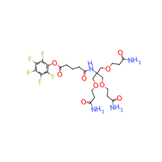 NC(=O)CCOCC(COCCC(N)=O)(COCCC(N)=O)NC(=O)CCCC(=O)Oc1c(F)c(F)c(F)c(F)c1F